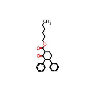 CCCCCCOC(=O)C1CCC(c2ccccc2)C(c2ccccc2)C1=O